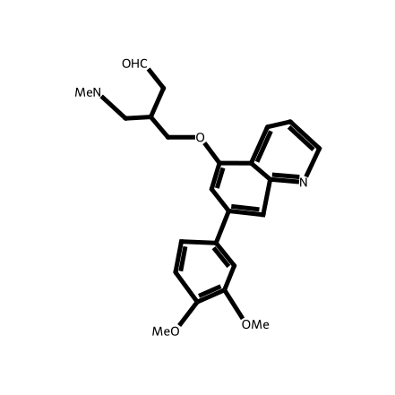 CNCC(CC=O)COc1cc(-c2ccc(OC)c(OC)c2)cc2ncccc12